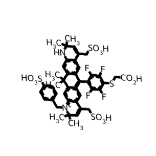 CC1(C)C=C(CS(=O)(=O)O)c2cc3c(cc2N1)C(C)(C)c1cc2c(cc1=C3c1c(F)c(F)c(SCC(=O)O)c(F)c1F)C(CS(=O)(=O)O)=CC(C)(C)[N+]=2Cc1ccc(S(=O)(=O)O)cc1